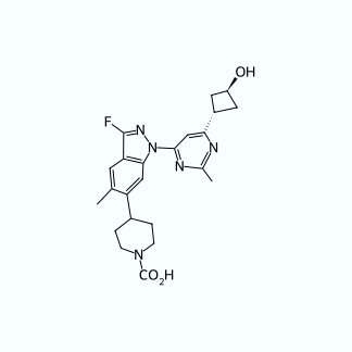 Cc1nc(-n2nc(F)c3cc(C)c(C4CCN(C(=O)O)CC4)cc32)cc([C@H]2C[C@H](O)C2)n1